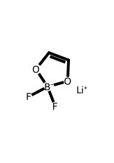 F[B-]1(F)OC=CO1.[Li+]